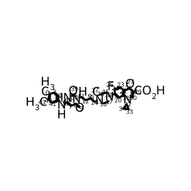 Cc1ccc(Nc2cc(=O)n(CCCCN3CCN(c4cc5c(cc4F)c(=O)c(C(=O)O)cn5C4CC4)CC3C)c(=O)[nH]2)cc1C